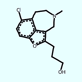 CN1CCc2c(Cl)ccc3oc(CCCO)c(c23)C1